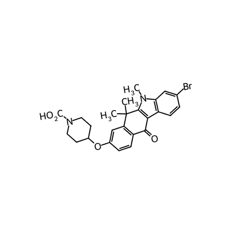 Cn1c2c(c3ccc(Br)cc31)C(=O)c1ccc(OC3CCN(C(=O)O)CC3)cc1C2(C)C